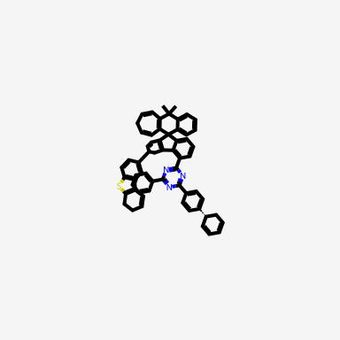 CC1(C)C2=C(C=CCC=C2)C2(C3=C(CC(c4ccc5sc6c(c5c4)C=CCC6)C=C3)c3c(-c4nc(-c5ccccc5)nc(-c5ccc([C@H]6C=CC=CC6)cc5)n4)cccc32)c2ccccc21